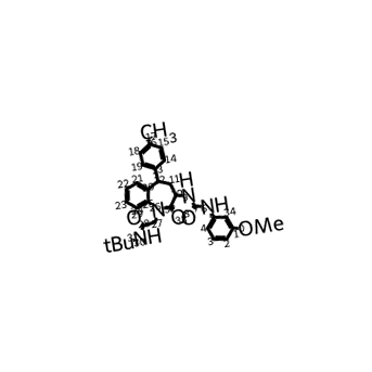 COc1cccc(NC(=O)NC2CC(c3ccc(C)cc3)c3ccccc3N(CC(=O)NC(C)(C)C)C2=O)c1